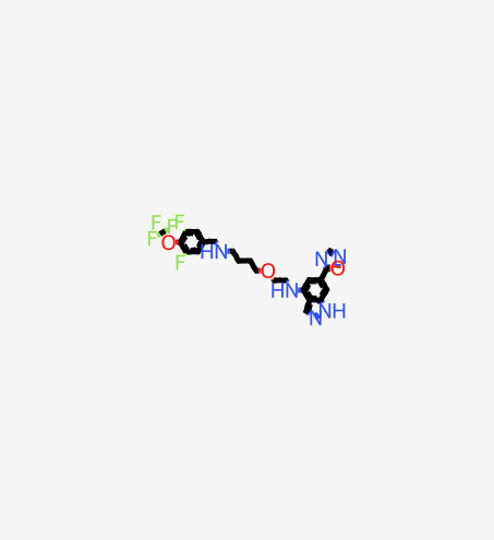 Fc1cc(CNCCCCOCCNc2cc(-c3ncno3)cc3[nH]ncc23)cc(F)c1OC(F)(F)F